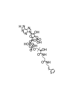 CC(C)(COP(=O)(O)OP(=O)(O)OC[C@H]1O[C@@H](n2cnc3c(N)ncnc32)[C@H](O)[C@@H]1OP(=O)(O)O)[C@@H](O)C(=O)NCCC(=O)NCCSc1cccs1